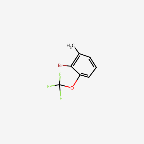 Cc1cccc(OC(F)(F)F)c1Br